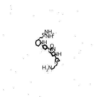 C[C@H](N)CCCN1CC=C(c2cc3cn(-c4ccc([C@@H]5CCCC[C@@H](CCSC(=N)N)N5)cc4)c(=O)nc3[nH]2)C1